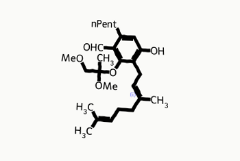 CCCCCc1cc(O)c(C/C=C(\C)CCC=C(C)C)c(OC(C)(COC)OC)c1C=O